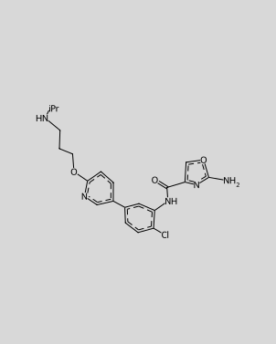 CC(C)NCCCOc1ccc(-c2ccc(Cl)c(NC(=O)c3coc(N)n3)c2)cn1